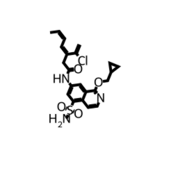 C=C(Cl)/C(=C\C=C/C)CC(=O)Nc1cc(S(N)(=O)=O)c2ccnc(OCC3CC3)c2c1